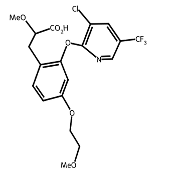 COCCOc1ccc(CC(OC)C(=O)O)c(Oc2ncc(C(F)(F)F)cc2Cl)c1